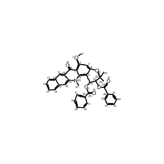 COc1cc2c(c3c1c(=O)c1cc4ccccc4cc1n3C)C(OC(=O)c1ccccc1)C(OC(=O)c1ccccc1)C(C)(C)O2